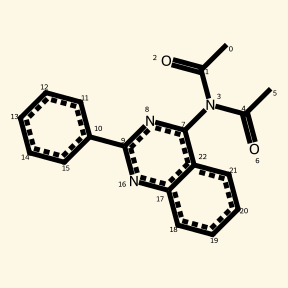 CC(=O)N(C(C)=O)c1nc(-c2ccccc2)nc2ccccc12